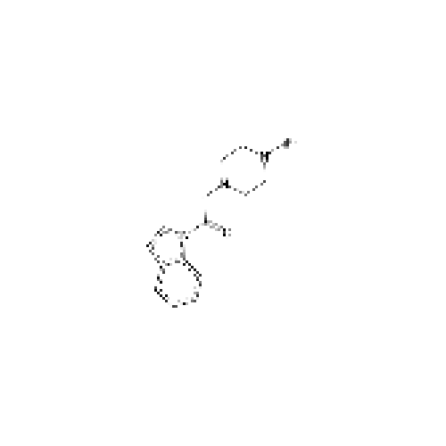 CC(C)N1CCN(CC(=O)n2ccc3ccccc32)CC1